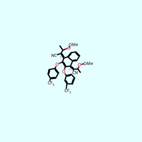 COOC(C)/C(C#N)=c1/c(Oc2ccc(C(F)(F)F)cc2)c(Oc2cccc(C(F)(F)F)c2)/c(=C(\C#N)C(C)OOC)c2ccccc12